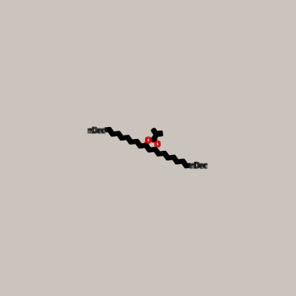 C=C(C)C(=O)OC(CCCCCCCCCCCCCCCCCC)CCCCCCCCCCCCCCCCCCC